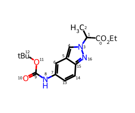 CCOC(=O)C(C)n1cc2cc(NC(=O)OC(C)(C)C)ccc2n1